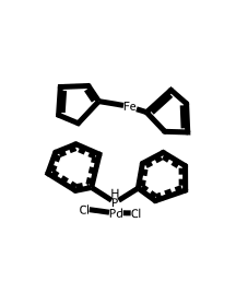 C1=CC[C]([Fe][C]2=CC=CC2)=C1.[Cl][Pd][Cl].c1ccc(Pc2ccccc2)cc1